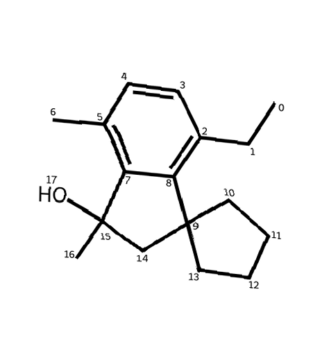 CCc1ccc(C)c2c1C1(CCCC1)CC2(C)O